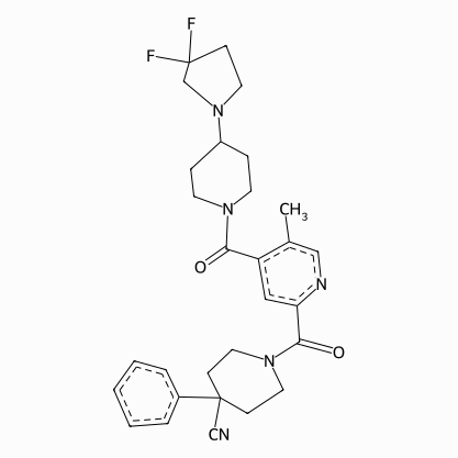 Cc1cnc(C(=O)N2CCC(C#N)(c3ccccc3)CC2)cc1C(=O)N1CCC(N2CCC(F)(F)C2)CC1